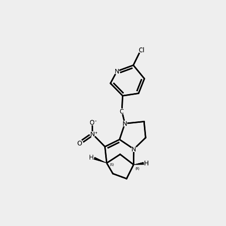 O=[N+]([O-])C1=C2N(Cc3ccc(Cl)nc3)CCN2[C@@H]2CC[C@H]1C2